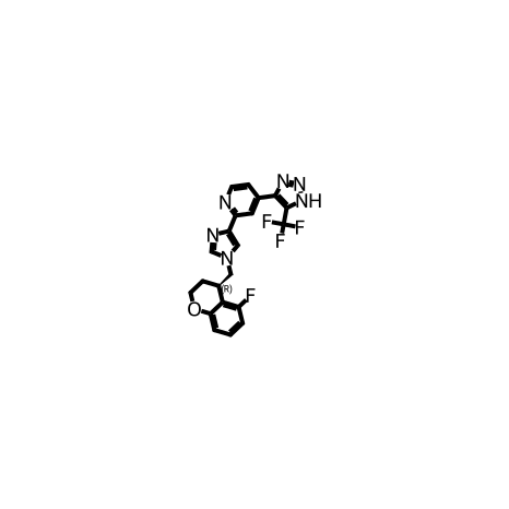 Fc1cccc2c1[C@H](Cn1cnc(-c3cc(-c4nn[nH]c4C(F)(F)F)ccn3)c1)CCO2